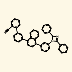 N#Cc1ccccc1-c1cccc(-c2ccc(-c3cccc(N4C(c5ccccc5)=NC4c4ccccc4)c3)c3ccccc23)c1